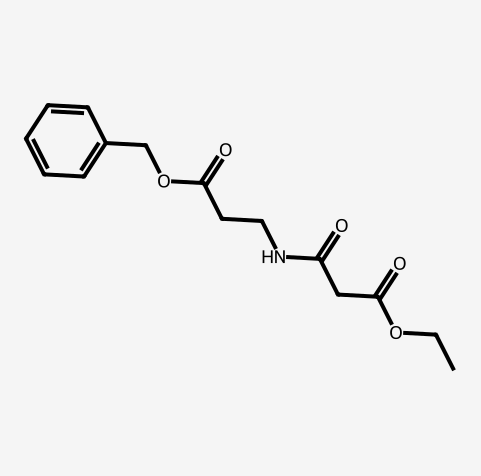 CCOC(=O)CC(=O)NCCC(=O)OCc1ccccc1